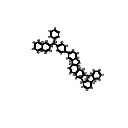 c1ccc(N(c2ccc(-c3ccc4sc5c6cc7c(cc6ccc5c4c3)c3cccc4c5ccccc5n7c43)cc2)c2ccc3ccccc3c2)cc1